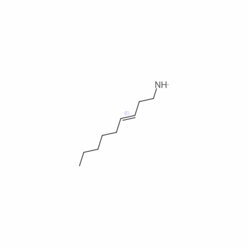 CCCCC/C=C/CC[NH]